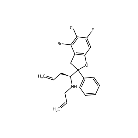 C=CCN[C@@H](CC=C)C1(c2ccccc2)Cc2c(cc(F)c(Cl)c2Br)O1